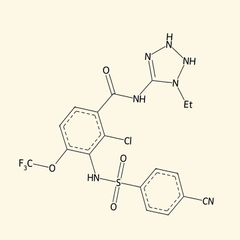 CCN1NNN=C1NC(=O)c1ccc(OC(F)(F)F)c(NS(=O)(=O)c2ccc(C#N)cc2)c1Cl